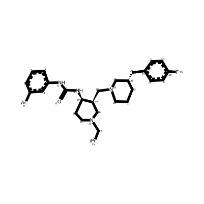 CC(=O)c1cccc(NC(=O)N[C@@H]2CCN(CC(C)C)C[C@@H]2CN2CCC[C@@H](Cc3ccc(F)cc3)C2)c1